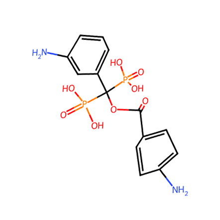 Nc1ccc(C(=O)OC(c2cccc(N)c2)(P(=O)(O)O)P(=O)(O)O)cc1